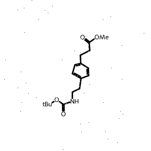 COC(=O)CCc1ccc(CCNC(=O)OC(C)(C)C)cc1